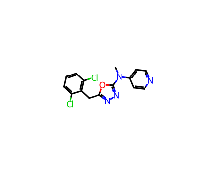 CN(c1ccncc1)c1nnc(Cc2c(Cl)cccc2Cl)o1